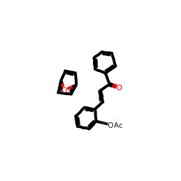 CC(=O)Oc1ccccc1C=CC(=O)c1ccccc1.c1cc2ccc1o2